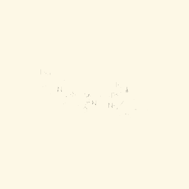 C[C@@H]1CN(c2ccc(F)cc2C(F)(F)F)CCN1S(=O)(=O)c1ccc(N2CCC(F)CC2)s1